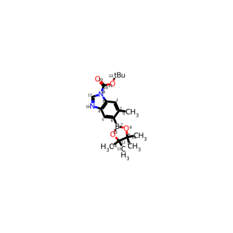 Cc1cc2c(cc1B1OC(C)(C)C(C)(C)O1)ncn2C(=O)OC(C)(C)C